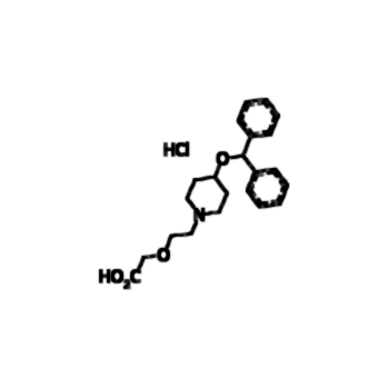 Cl.O=C(O)COCCN1CCC(OC(c2ccccc2)c2ccccc2)CC1